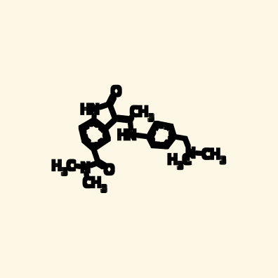 CC(Nc1ccc(CN(C)C)cc1)=C1C(=O)Nc2ccc(C(=O)N(C)C)cc21